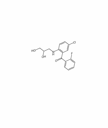 O=C(c1ccccc1F)c1cc(Cl)ccc1NCC(O)CO